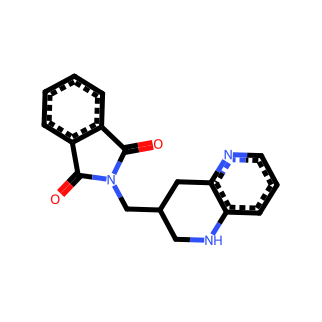 O=C1c2ccccc2C(=O)N1CC1CNc2cccnc2C1